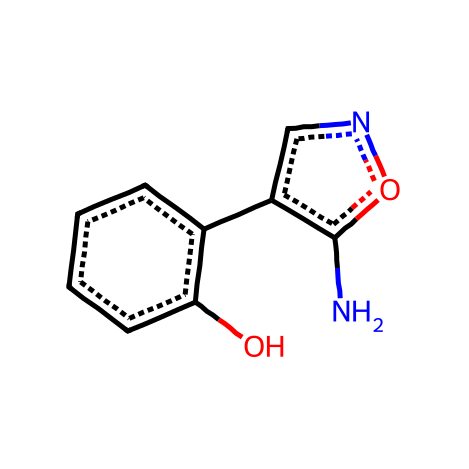 Nc1oncc1-c1ccccc1O